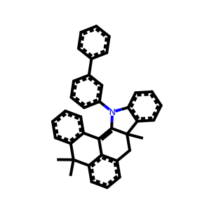 CC12Cc3cccc4c3C(=C1N(c1cccc(-c3ccccc3)c1)c1ccccc12)c1ccccc1C4(C)C